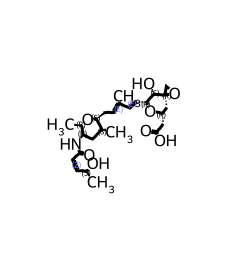 CC(/C=C/[C@H]1O[C@@H](CC(=O)O)C[C@@]2(CO2)[C@H]1O)=C\C[C@@H]1O[C@H](C)[C@H](NC(=O)/C=C\[C@H](C)O)C[C@@H]1C